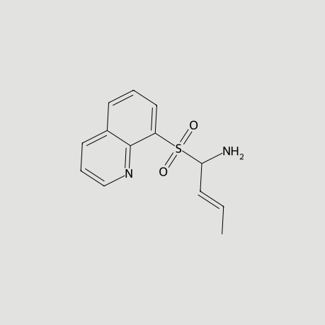 CC=CC(N)S(=O)(=O)c1cccc2cccnc12